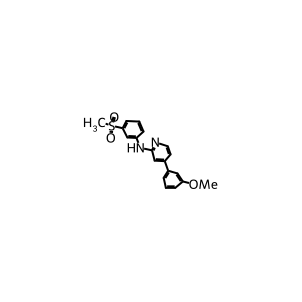 COc1cccc(-c2ccnc(Nc3cccc(S(C)(=O)=O)c3)c2)c1